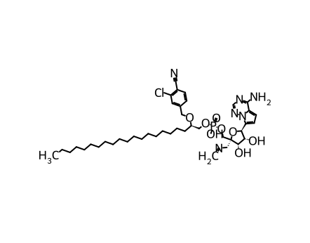 C=NC[C@]1(COP(=O)(O)OC[C@@H](CCCCCCCCCCCCCCCCCCC)OCc2ccc(C#N)c(Cl)c2)O[C@@H](c2ccc3c(N)ncnn23)[C@H](O)[C@@H]1O